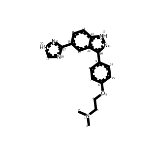 CN(C)CCOc1ccc(-c2n[nH]c3ccc(-c4nc[nH]n4)cc23)cc1